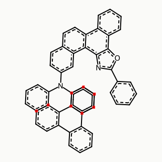 c1ccc(-c2nc3c(o2)c2ccccc2c2ccc4ccc(N(c5ccccc5)c5ccccc5-c5ccccc5-c5ccccc5-c5ccccc5)cc4c23)cc1